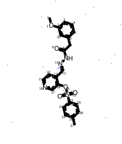 COc1cccc(CC(=O)N/N=C/c2ccncc2OS(=O)(=O)c2ccc(C)cc2)c1